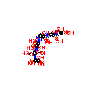 CNc1ccc2c(O)c(N=Nc3ccc4c(O)c(N=Nc5ccc(SOOO)cc5C(=O)O)c(SOOO)cc4c3)c(SOOO)cc2c1N=Nc1ccc2c(O)c(N=Nc3cc(OCCO)c(N=Nc4cc(S(=O)(=O)O)cc5cc(S(=O)(=O)O)cc(O)c45)cc3OCCO)c(S(=O)(=O)O)cc2c1S(=O)(=O)O